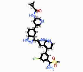 CS(=O)(=O)C(N)c1cc(F)cc(-c2ccnc3[nH]c(-c4n[nH]c5ccc(-c6cncc(NC(=O)C7CC7)c6)cc45)cc23)c1